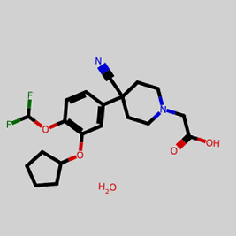 N#CC1(c2ccc(OC(F)F)c(OC3CCCC3)c2)CCN(CC(=O)O)CC1.O